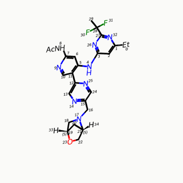 CCc1cc(Nc2cc(NC(C)=O)ncc2-c2cnc(CN3C[C@@H]4C[C@H]3CO4)cn2)nc(C(C)(F)F)n1